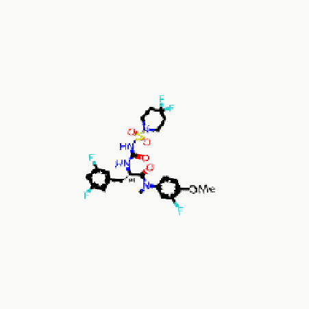 COc1ccc(N(C)C(=O)[C@H](Cc2cc(F)cc(F)c2)NC(=O)NS(=O)(=O)N2CCC(F)(F)CC2)cc1F